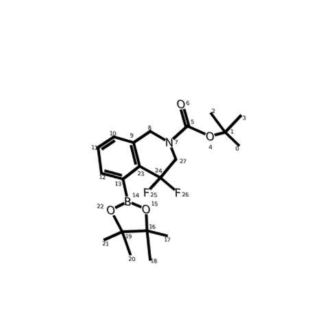 CC(C)(C)OC(=O)N1Cc2cccc(B3OC(C)(C)C(C)(C)O3)c2C(F)(F)C1